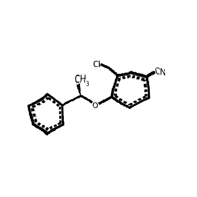 C[C@@H](Oc1ccc(C#N)cc1Cl)c1ccccc1